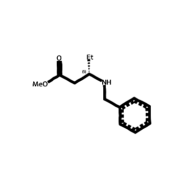 CC[C@@H](CC(=O)OC)NCc1ccccc1